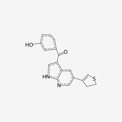 O=C(c1cccc(O)c1)c1c[nH]c2ncc(C3=CSCC3)cc12